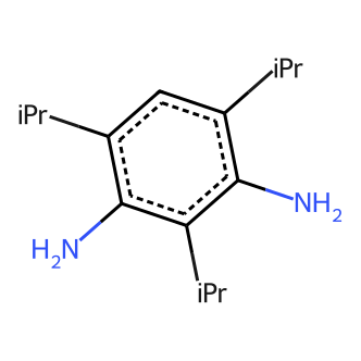 CC(C)c1cc(C(C)C)c(N)c(C(C)C)c1N